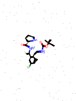 CC(NC(=O)[C@@H]1CCCN1)c1cc(Cl)ccc1CNC(=O)OC(C)(C)C